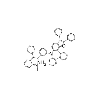 N=C1C=CC=C/C1=C(\c1ccccc1)[C@H](N)c1cccc(N2c3ccccc3-c3ccccc3-c3c2ccc2c(-c4ccccc4)c(-c4ccccc4)oc32)c1